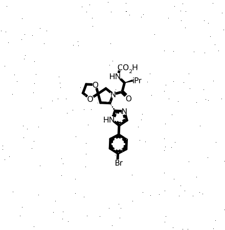 CC(C)[C@H](NC(=O)O)C(=O)N1CC2(C[C@H]1c1ncc(-c3ccc(Br)cc3)[nH]1)OCCO2